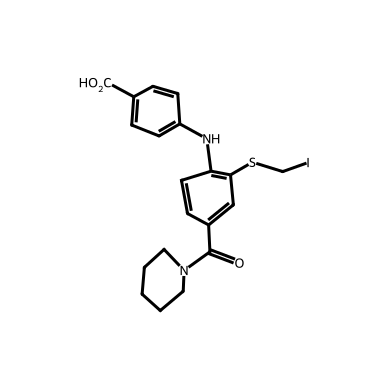 O=C(O)c1ccc(Nc2ccc(C(=O)N3CCCCC3)cc2SCI)cc1